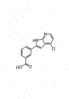 O=C(O)c1cccc(-c2cc3c(Cl)ccnc3[nH]2)c1